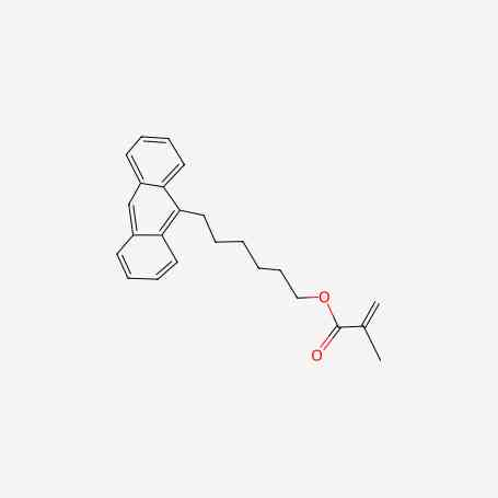 C=C(C)C(=O)OCCCCCCc1c2ccccc2cc2ccccc12